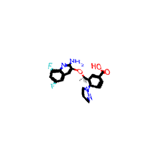 C[C@H](Oc1cc2cc(F)cc(F)c2nc1N)c1cc(C(=O)O)ccc1-n1cccn1